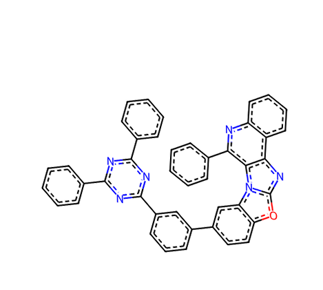 c1ccc(-c2nc(-c3ccccc3)nc(-c3cccc(-c4ccc5oc6nc7c8ccccc8nc(-c8ccccc8)c7n6c5c4)c3)n2)cc1